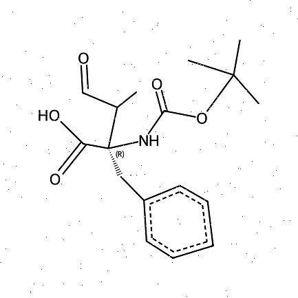 CC(C=O)[C@@](Cc1ccccc1)(NC(=O)OC(C)(C)C)C(=O)O